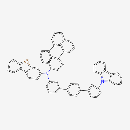 c1ccc(-c2cccc3cccc(-c4ccc(N(c5cccc(-c6ccc(-c7cccc(-n8c9ccccc9c9ccccc98)c7)cc6)c5)c5ccc6c(c5)sc5ccccc56)cc4)c23)cc1